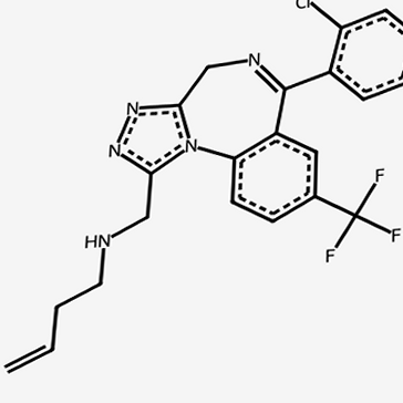 C=CCCNCc1nnc2n1-c1ccc(C(F)(F)F)cc1C(c1ccccc1Cl)=NC2